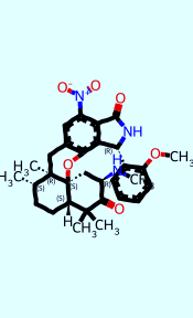 CN[C@@H]1C[C@@]23Oc4c(cc([N+](=O)[O-])c5c4[C@@H](c4ccccc4OC)NC5=O)C[C@]2(C)[C@@H](C)CC[C@H]3C(C)(C)C1=O